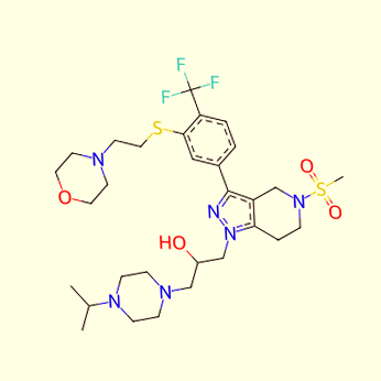 CC(C)N1CCN(CC(O)Cn2nc(-c3ccc(C(F)(F)F)c(SCCN4CCOCC4)c3)c3c2CCN(S(C)(=O)=O)C3)CC1